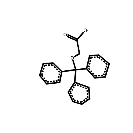 [O]C(=O)COC(c1ccccc1)(c1ccccc1)c1ccccc1